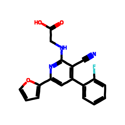 N#Cc1c(-c2ccccc2F)cc(-c2ccco2)nc1NCC(=O)O